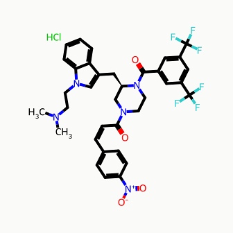 CN(C)CCn1cc(C[C@@H]2CN(C(=O)C=Cc3ccc([N+](=O)[O-])cc3)CCN2C(=O)c2cc(C(F)(F)F)cc(C(F)(F)F)c2)c2ccccc21.Cl